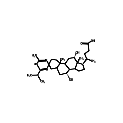 CC(CCC(=O)O)[C@H]1CCC2C3C(C[C@H](O)[C@@]21C)[C@@]1(C)CCC2(CC1C[C@H]3O)N=C(N)NC(N(C)C)=N2